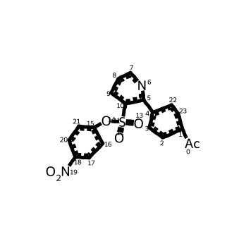 CC(=O)c1ccc(-c2ncccc2S(=O)(=O)Oc2ccc([N+](=O)[O-])cc2)cc1